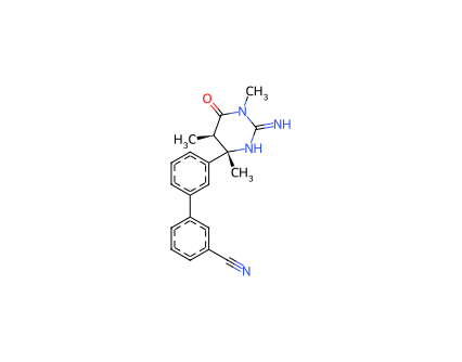 C[C@H]1C(=O)N(C)C(=N)N[C@]1(C)c1cccc(-c2cccc(C#N)c2)c1